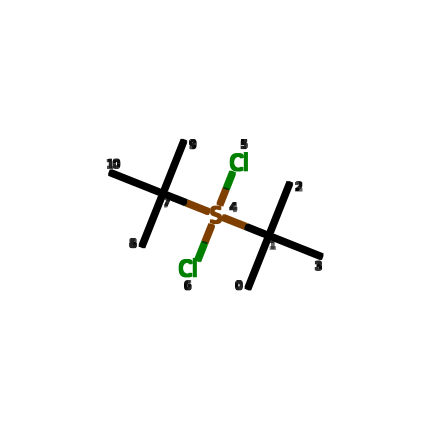 CC(C)(C)S(Cl)(Cl)C(C)(C)C